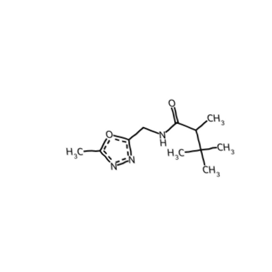 Cc1nnc(CNC(=O)C(C)C(C)(C)C)o1